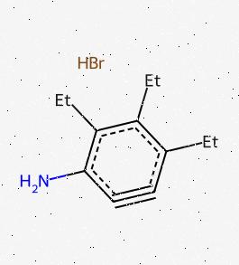 Br.CCc1c#cc(N)c(CC)c1CC